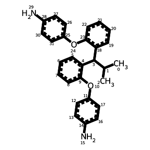 CC(C)C(c1ccccc1Oc1ccc(N)cc1)c1ccccc1Oc1ccc(N)cc1